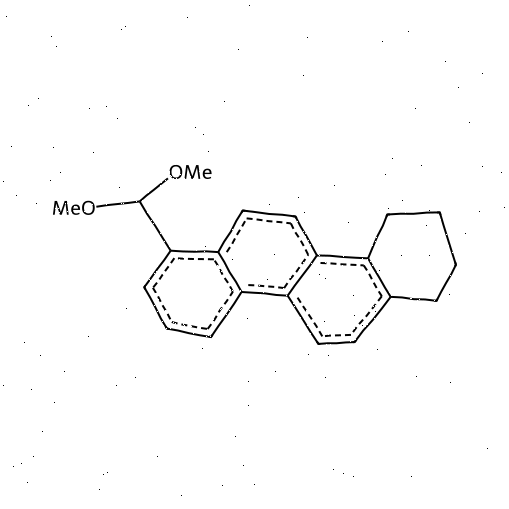 COC(OC)c1cccc2c1ccc1c3c(ccc12)CCCC3